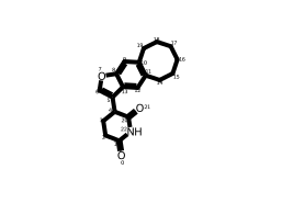 O=C1CCC(c2coc3cc4c(cc23)CCCCCC4)C(=O)N1